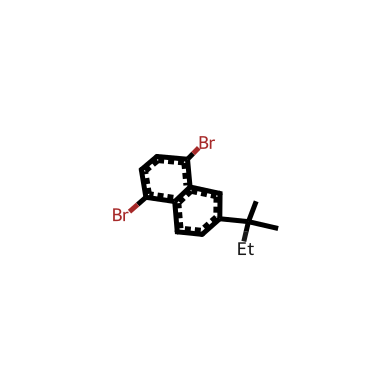 CCC(C)(C)c1ccc2c(Br)ccc(Br)c2c1